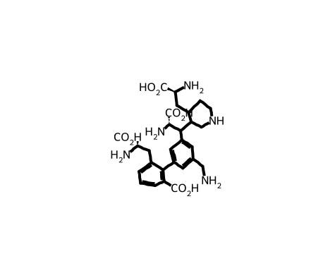 NCc1cc(-c2c(C[C@H](N)C(=O)O)cccc2C(=O)O)cc(C(C2CNCCC2C[C@H](N)C(=O)O)[C@H](N)C(=O)O)c1